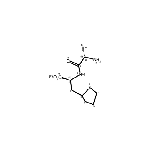 CCOC(=O)[C@H](CC1CCCS1)NC(=O)[C@@H](N)C(C)C